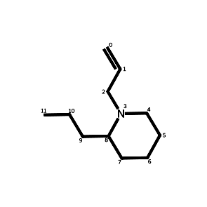 C=CCN1CCCCC1CCC